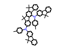 Cc1ccc(N(c2ccc3c(c2)C(C)(C)c2ccccc2-3)c2ccc3c(c2)C(C)(C)c2cc4c(c(N(c5ccc(C)cc5)c5ccc6c(c5)C(C)(C)c5ccccc5-6)c2-3)-c2ccccc2C4(C)C)cc1